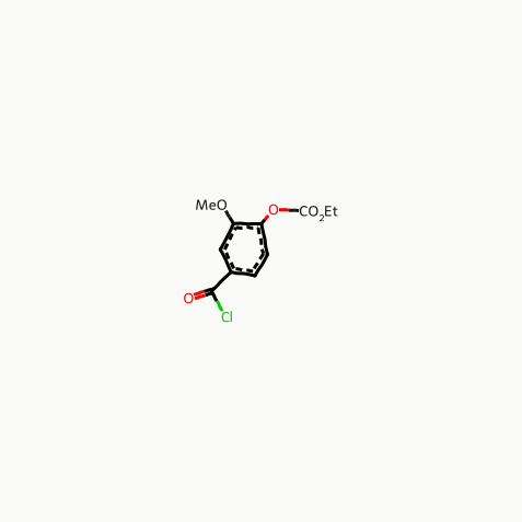 CCOC(=O)Oc1ccc(C(=O)Cl)cc1OC